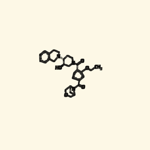 CCOc1cc(C(=O)N2C3COCC2C3)ccc1C(=O)N1CC[C@@H](N2CCc3ccccc3C2)[C@H](O)C1